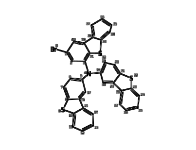 Brc1cc(N(c2ccc3sc4ccccc4c3c2)c2ccc3sc4ccccc4c3c2)c2sc3ccccc3c2c1